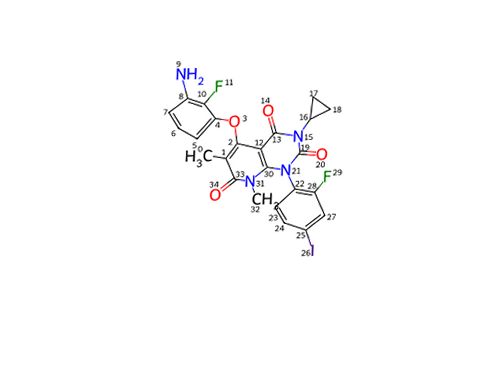 Cc1c(Oc2cccc(N)c2F)c2c(=O)n(C3CC3)c(=O)n(-c3ccc(I)cc3F)c2n(C)c1=O